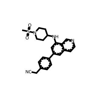 CS(=O)(=O)N1CCC(Nc2cc(-c3ccc(CC#N)cc3)cc3ccncc23)CC1